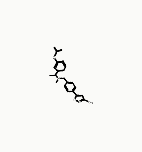 CC(C)Oc1cccc(C(C)N(C)Cc2ccc(-c3cc(O)no3)cc2)c1